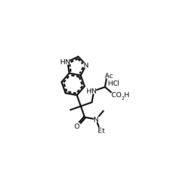 CCN(C)C(=O)C(C)(CNC(C(C)=O)C(=O)O)c1ccc2[nH]cnc2c1.Cl